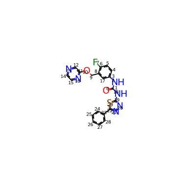 O=C(Nc1ccc(F)c(COc2cnccn2)c1)Nc1nnc(-c2ccccc2)s1